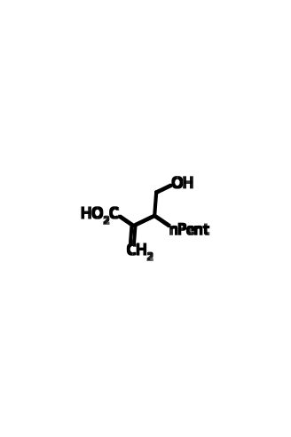 C=C(C(=O)O)C(CO)CCCCC